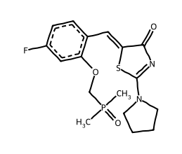 CP(C)(=O)COc1cc(F)ccc1/C=C1\SC(N2CCCC2)=NC1=O